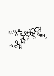 BOC(=O)C(=C)O/N=C(\C(=O)N[C@@H]1C(=O)N2C(C(=O)OB)=C(CCl)CS[C@H]12)c1csc(NC(=O)OC(C)(C)C)n1